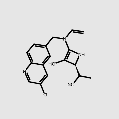 C=CN(Cc1ccc2ncc(Cl)cc2c1)C1=C(O)[C@H](C(C)C#N)N1